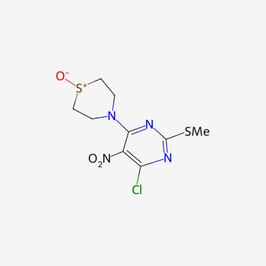 CSc1nc(Cl)c([N+](=O)[O-])c(N2CC[S+]([O-])CC2)n1